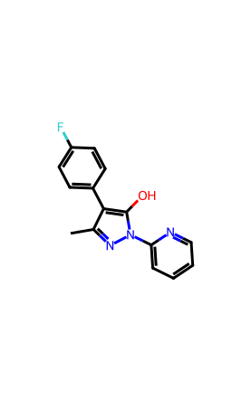 Cc1nn(-c2ccccn2)c(O)c1-c1ccc(F)cc1